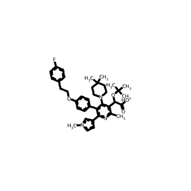 Cc1nc(-c2ccn(C)c2)c(-c2ccc(OCCc3ccc(F)cc3)cc2)c(N2CCC(C)(C)CC2)c1C(OC(C)(C)C)C(=O)O